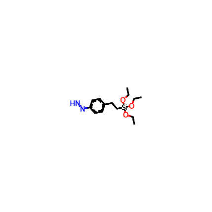 CCO[Si](CCc1ccc(N=N)cc1)(OCC)OCC